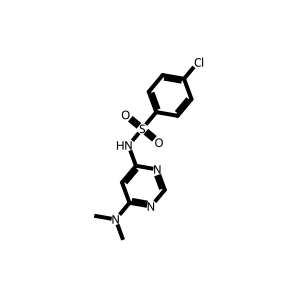 CN(C)c1cc(NS(=O)(=O)c2ccc(Cl)cc2)ncn1